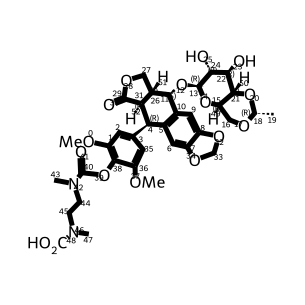 COc1cc([C@@H]2c3cc4c(cc3[C@@H](O[C@@H]3O[C@@H]5CO[C@@H](C)O[C@H]5[C@H](O)[C@H]3O)[C@H]3COC(=O)[C@H]23)OCO4)cc(OC)c1OC(=O)N(C)CCN(C)C(=O)O